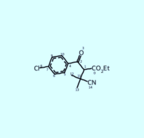 CCOC(=O)C(C(=O)c1ccc(Cl)cc1)C(C)(C)C#N